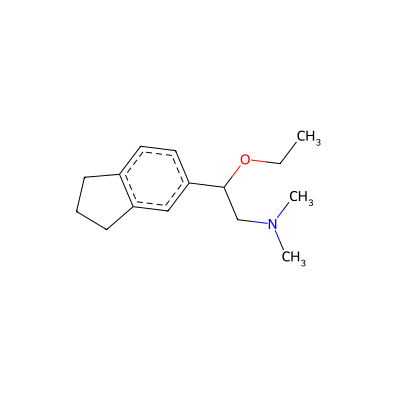 CCOC(CN(C)C)c1ccc2c(c1)CCC2